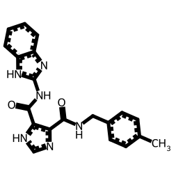 Cc1ccc(CNC(=O)c2nc[nH]c2C(=O)Nc2nc3ccccc3[nH]2)cc1